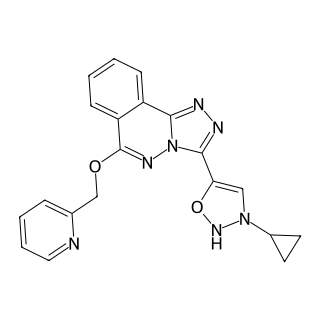 C1=C(c2nnc3c4ccccc4c(OCc4ccccn4)nn23)ONN1C1CC1